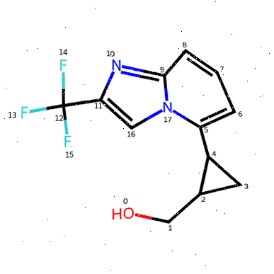 OCC1CC1c1cccc2nc(C(F)(F)F)cn12